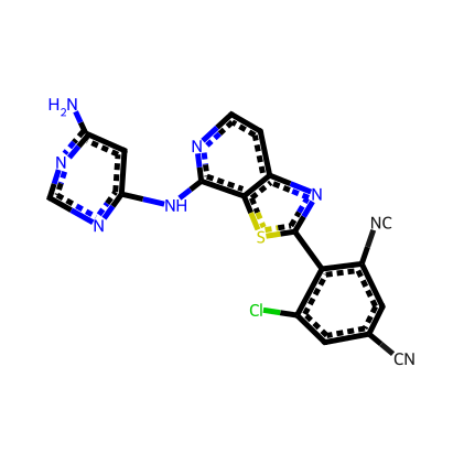 [C-]#[N+]c1cc(C#N)cc(Cl)c1-c1nc2ccnc(Nc3cc(N)ncn3)c2s1